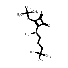 CN(CCCC(C)(C)C)c1c(NC(C)(C)C)c(=O)c1=O